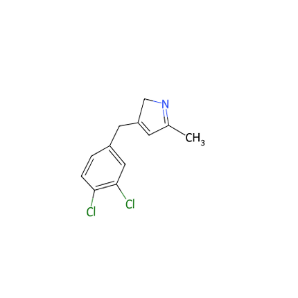 CC1=NCC(Cc2ccc(Cl)c(Cl)c2)=C1